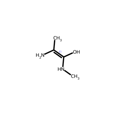 CN/C(O)=C(/C)N